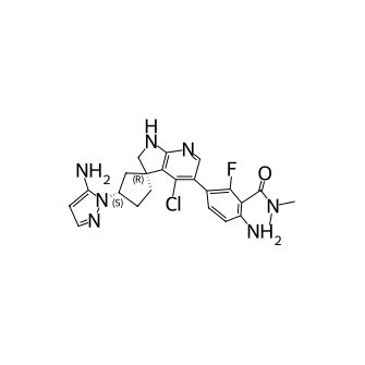 CN(C)C(=O)c1c(N)ccc(-c2cnc3c(c2Cl)[C@]2(CC[C@H](n4nccc4N)C2)CN3)c1F